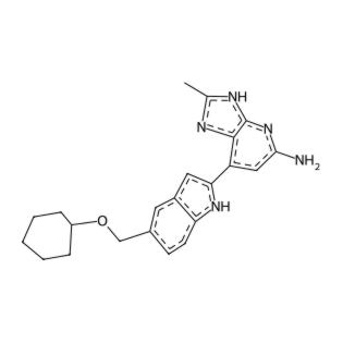 Cc1nc2c(-c3cc4cc(COC5CCCCC5)ccc4[nH]3)cc(N)nc2[nH]1